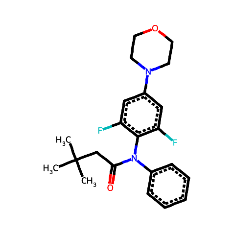 CC(C)(C)CC(=O)N(c1ccccc1)c1c(F)cc(N2CCOCC2)cc1F